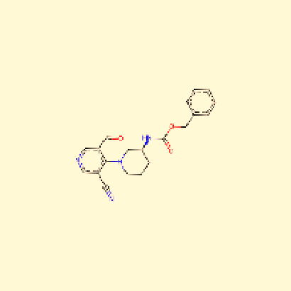 N#Cc1cncc(C=O)c1N1CCC[C@H](NC(=O)OCc2ccccc2)C1